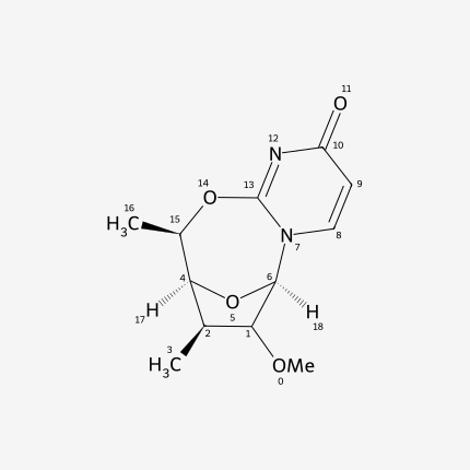 COC1[C@@H](C)[C@@H]2O[C@H]1n1ccc(=O)nc1O[C@@H]2C